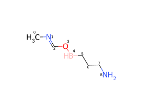 CN=COBCCCN